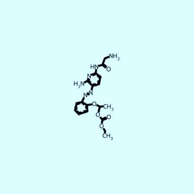 CCOC(=O)OC(C)Oc1ccccc1/N=N/c1ccc(NC(=O)CN)nc1N